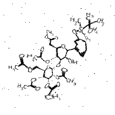 COC(=O)C[C@H]1OC(c2cccc(O[Si](C)(C)C(C)(C)C)c2)[C@@H](O)[C@@H](O[C@H]2O[C@H](COC(C)=O)[C@@H](OC(C)=O)[C@@H](OC(C)=O)[C@H]2OC(C)=O)[C@@H]1OC(C)=O